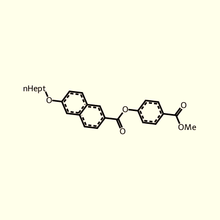 CCCCCCCOc1ccc2cc(C(=O)Oc3ccc(C(=O)OC)cc3)ccc2c1